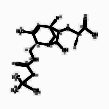 CC1=C[C@H]2CN(C(O)N2O[C@@H](F)C(=O)O)[C@@H]1CNC(=O)OC(C)(C)C